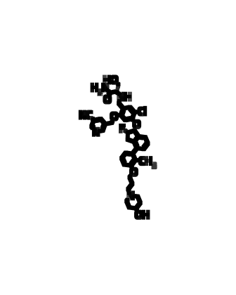 Cc1c(OCCCN2CCC(O)CC2)cccc1-c1cccc2c1C[C@@H](F)[C@@H]2Oc1cc(OCc2cncc(C#N)c2)c(CN[C@@H](CO)C(N)=O)cc1Cl